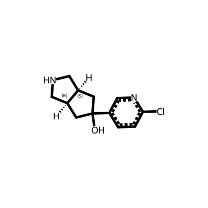 OC1(c2ccc(Cl)nc2)C[C@H]2CNC[C@H]2C1